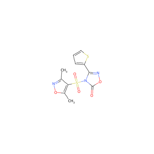 Cc1noc(C)c1S(=O)(=O)n1c(-c2cccs2)noc1=O